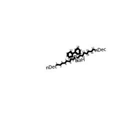 CCCCCCCCCCCCCCCCCCOCCCCCCCCCCCCCCCCCC.[NaH].c1ccc(-c2ccccc2)cc1